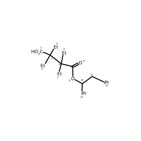 CCC(CC)(C(=O)O)C(CC)(CC)C(=O)OC(CC(C)C)C(C)C